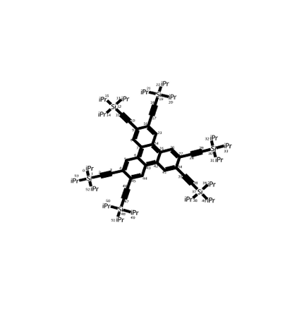 CC(C)[Si](C#Cc1cc2c3cc(C#C[Si](C(C)C)(C(C)C)C(C)C)c(C#C[Si](C(C)C)(C(C)C)C(C)C)cc3c3cc(C#C[Si](C(C)C)(C(C)C)C(C)C)c(C#C[Si](C(C)C)(C(C)C)C(C)C)cc3c2cc1C#C[Si](C(C)C)(C(C)C)C(C)C)(C(C)C)C(C)C